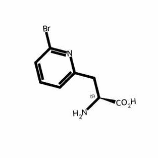 N[C@@H](Cc1cccc(Br)n1)C(=O)O